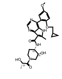 COc1ccc(OCC2CC2)c(-c2ncnc3c(C(=O)N[C@H]4CCN(C(=O)[C@H](C)O)C[C@H]4O)c(C)[nH]c23)c1